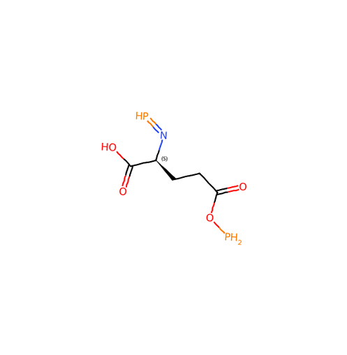 O=C(CC[C@H](N=P)C(=O)O)OP